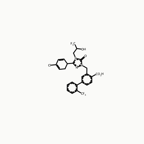 O=C(O)c1ccc(-c2ccccc2C(F)(F)F)cc1Cn1nc(C2C=CC(Cl)=CC2)n(CC(O)C(F)(F)F)c1=O